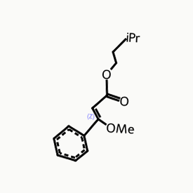 CO/C(=C\C(=O)OCCC(C)C)c1ccccc1